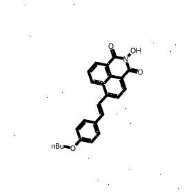 CCCCOc1ccc(/C=C/c2ccc3c4c(cccc24)C(=O)N(O)C3=O)cc1